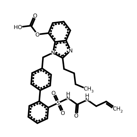 C=CCNC(=O)NS(=O)(=O)c1ccccc1-c1ccc(Cn2c(CCCC)nc3cccc(OC(=O)O)c32)cc1